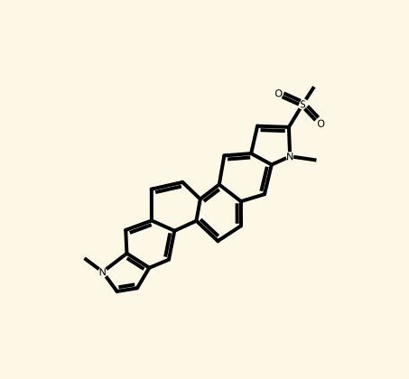 Cn1ccc2cc3c(ccc4c5cc6cc(S(C)(=O)=O)n(C)c6cc5ccc34)cc21